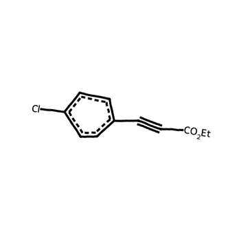 CCOC(=O)C#Cc1ccc(Cl)cc1